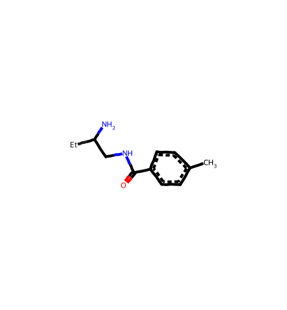 CCC(N)CNC(=O)c1ccc(C)cc1